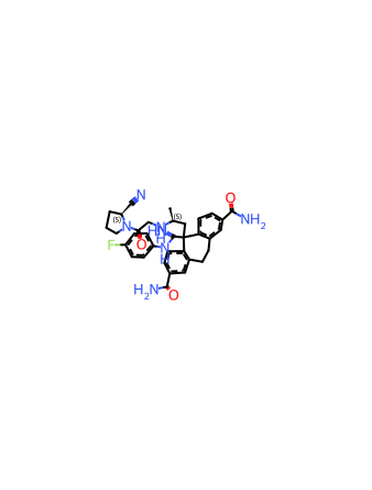 C[C@@H](CC1(C(=N)Nc2ccc(F)cc2)c2ccc(C(N)=O)cc2CCc2cc(C(N)=O)ccc21)NCC(=O)N1CCC[C@H]1C#N